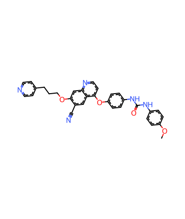 COc1ccc(NC(=O)Nc2ccc(Oc3ccnc4cc(OCCCc5ccncc5)c(C#N)cc34)cc2)cc1